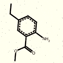 CCc1ccc(N)c(C(=O)OC)c1